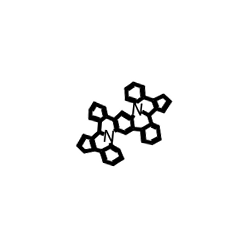 C1=CC2=C(C1)c1ccccc1N1c3cc4c(cc3-c3ccccc3C21)N1c2ccccc2C2=C(C=CC2)C1c1ccccc1-4